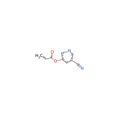 C=CC(=O)Oc1cncc(C#N)c1